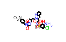 CC(C)CN(C[C@H](O)[C@H](Cc1ccccc1)NC(=O)CC(C)CN1CC(=O)N(Cc2ccc([N+](=O)[O-])cc2)C1=O)S(=O)(=O)c1ccc(Cl)c(N)c1